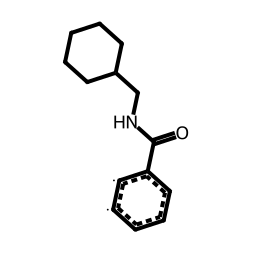 O=C(NCC1CCCCC1)c1[c][c]ccc1